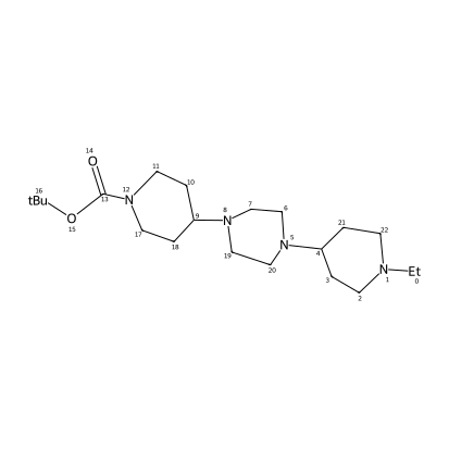 CCN1CCC(N2CCN(C3CCN(C(=O)OC(C)(C)C)CC3)CC2)CC1